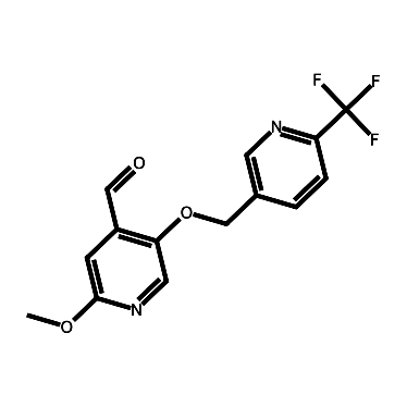 COc1cc(C=O)c(OCc2ccc(C(F)(F)F)nc2)cn1